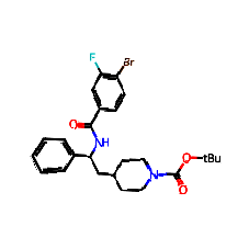 CC(C)(C)OC(=O)N1CCC(CC(NC(=O)c2ccc(Br)c(F)c2)c2ccccc2)CC1